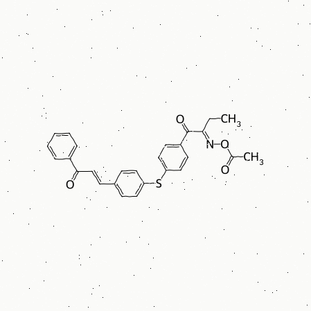 CCC(=NOC(C)=O)C(=O)c1ccc(Sc2ccc(C=CC(=O)c3ccccc3)cc2)cc1